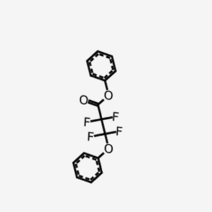 O=C(Oc1ccccc1)C(F)(F)C(F)(F)Oc1ccccc1